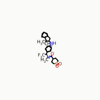 CN(C(=O)C1CCS(=O)(=O)CC1)C(c1ccc(NC2Cc3ccccc3C2(C)C)cc1)C(F)(F)F